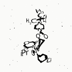 CCC(C)(C)N1CCN(C(=O)OC2([C@H]3COC[C@@H](C(C)C)N3S(=O)(=O)c3ccc(Cl)cc3)CC2)CC1